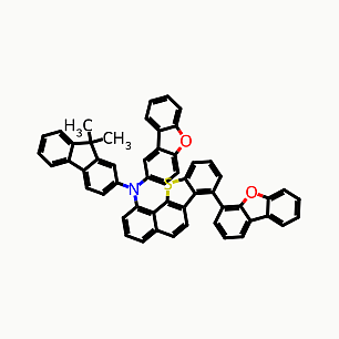 CC1(C)c2ccccc2-c2ccc(N(c3ccc4oc5ccccc5c4c3)c3cccc4ccc5c(sc6cccc(-c7cccc8c7oc7ccccc78)c65)c34)cc21